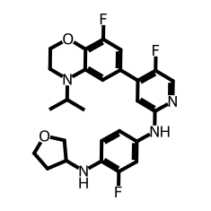 CC(C)N1CCOc2c(F)cc(-c3cc(Nc4ccc(NC5CCOC5)c(F)c4)ncc3F)cc21